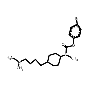 CN(C)CCCCC1CCC(N(C)C(=O)Oc2ccc(Br)cc2)CC1